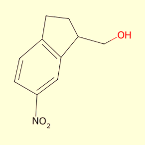 O=[N+]([O-])c1ccc2c(c1)C(CO)CC2